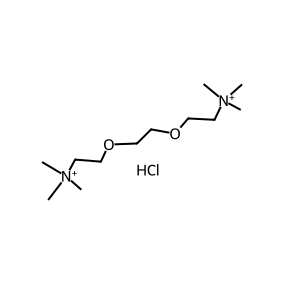 C[N+](C)(C)CCOCCOCC[N+](C)(C)C.Cl